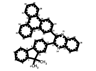 CC1(C)c2ccccc2-c2ccc(-c3nc4ccccc4nc3-c3ccc4c5ccccc5c5ccccc5c4c3)cc21